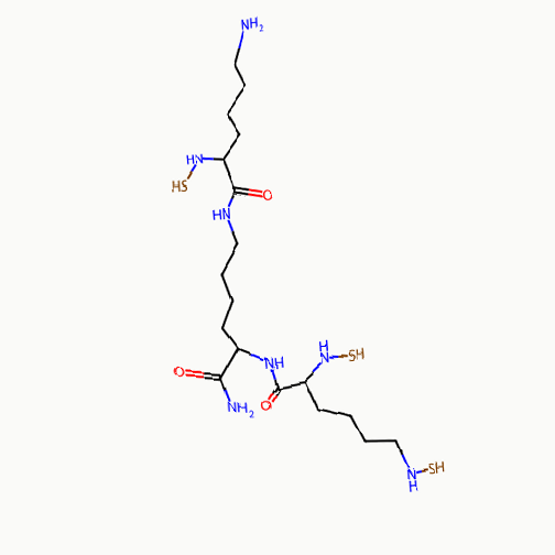 NCCCCC(NS)C(=O)NCCCCC(NC(=O)C(CCCCNS)NS)C(N)=O